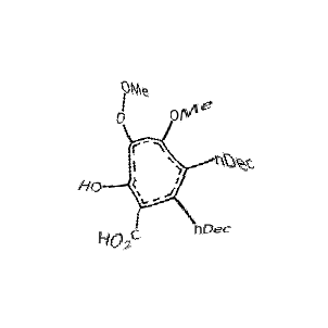 CCCCCCCCCCc1c(CCCCCCCCCC)c(C(=O)O)c(O)c(OOC)c1OC